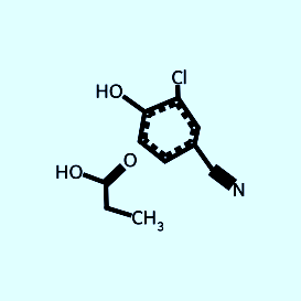 CCC(=O)O.N#Cc1ccc(O)c(Cl)c1